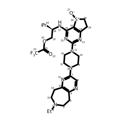 CCN1CCc2ncc(N3CCN(c4nc5c(c(N[C@@H](COC(=O)C(F)(F)F)C(C)C)n4)[S+]([O-])CC5)CC3)nc2CC1